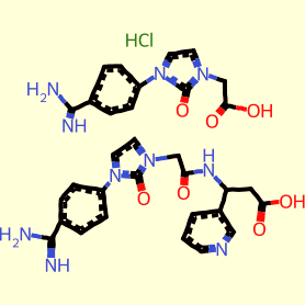 Cl.N=C(N)c1ccc(-n2ccn(CC(=O)NC(CC(=O)O)c3cccnc3)c2=O)cc1.N=C(N)c1ccc(-n2ccn(CC(=O)O)c2=O)cc1